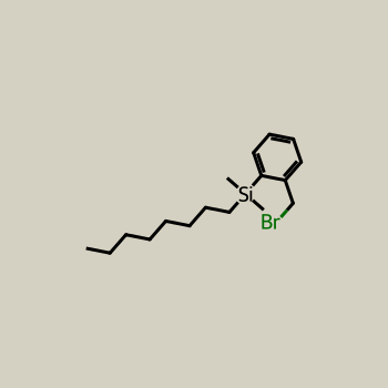 CCCCCCCC[Si](C)(C)c1ccccc1CBr